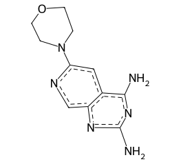 Nc1nc(N)c2cc(N3CCOCC3)ncc2n1